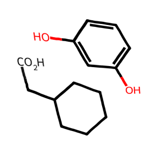 O=C(O)CC1CCCCC1.Oc1cccc(O)c1